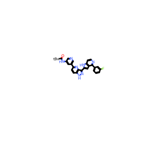 CC(C)(C)C(=O)Nc1cncc(-c2ccc3[nH]nc(-c4cc5c(-c6cccc(F)c6)nccc5[nH]4)c3n2)c1